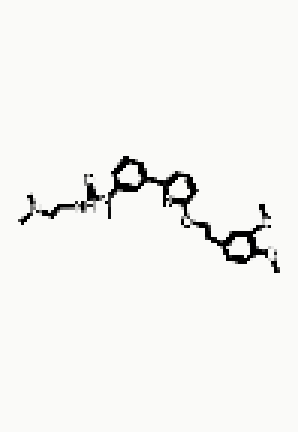 COc1ccc(CCOc2cccc(-c3cccc(NC(=O)NCCN(C)C)c3)n2)cc1OC